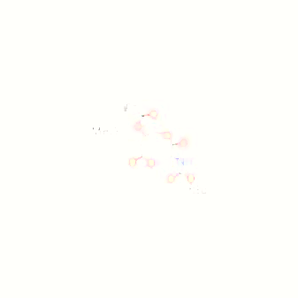 COCC[C@H]1C(=O)OC[C@H](NC(=O)OC(C)(C)C)C(=O)O[C@@H](C)[C@@H]1OC(=O)C(C)C